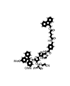 COc1ccc(C(OC[C@H]2O[C@@H](C3C=NC4=C3NCN=C4NC(=O)c3ccc(CNC(=O)CCCC(=O)OCC4c5ccccc5-c5ccccc54)cc3)CC2OP(OCCC#N)N(C(C)C)C(C)C)(c2ccccc2)c2ccc(OC)cc2)cc1